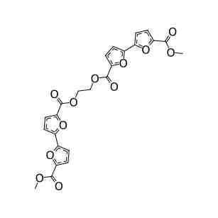 COC(=O)c1ccc(-c2ccc(C(=O)OCCOC(=O)c3ccc(-c4ccc(C(=O)OC)o4)o3)o2)o1